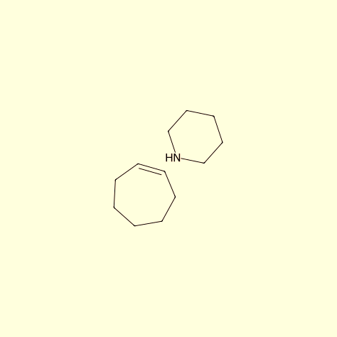 C1=CCCCCC1.C1CCNCC1